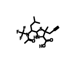 C#CCC1(C)SC(C(CC(C)C)N(C(C)=O)C(F)(F)F)NC1C(=O)O